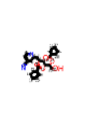 N#Cc1ccnc(CC2OC(c3ccccc3)OC3C(CO)OC(c4ccccc4)OC23)c1